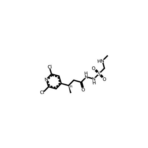 CNCS(=O)(=O)NNC(=O)C[C@@H](C)c1cc(Cl)nc(Cl)c1